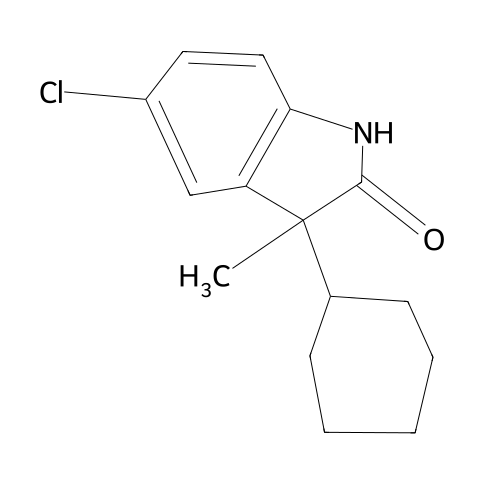 CC1(C2CCCCC2)C(=O)Nc2ccc(Cl)cc21